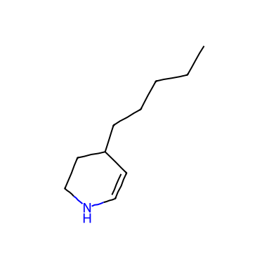 CCCCCC1C=CNCC1